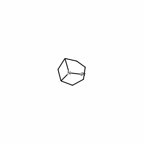 CC(C)N1C2CCCCC1C2